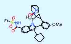 CCS(=O)(=O)NC(=O)c1ccc2c(C3CCCCC3)c3n(c2c1)CC1(C(=O)N2C4CC2CN(C)C4)CC1c1cc(OC)ccc1-3